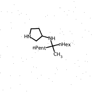 CCCCCCC(C)(CCCCC)NC1CCNC1